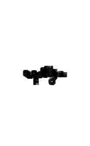 CN(c1ccc2c(c1)nc(C(C)(C)C)n2CC1CCCCC1)S(=O)(=O)c1ccc(NC(=O)CN2CCOCC2)cc1